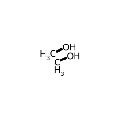 CO.CO